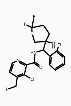 O=C(NC(c1ccccc1Cl)C1(O)CCC(F)(F)CC1)c1nccc(CF)c1Cl